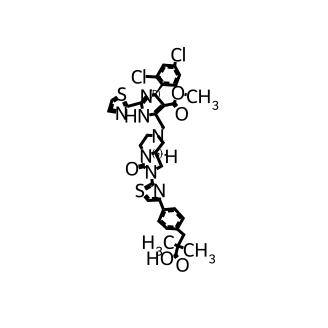 COC(=O)C1=C(CN2CCN3C(=O)N(c4nc(-c5ccc(CC(C)(C)C(=O)O)cc5)cs4)C[C@@H]3C2)NC(c2nccs2)=N[C@H]1c1ccc(Cl)cc1Cl